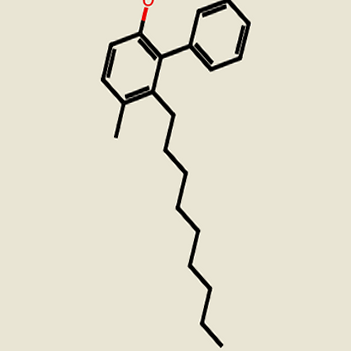 CCCCCCCCCc1c(C)ccc(OC)c1-c1ccccc1